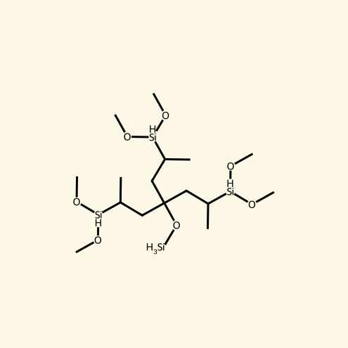 CO[SiH](OC)C(C)CC(CC(C)[SiH](OC)OC)(CC(C)[SiH](OC)OC)O[SiH3]